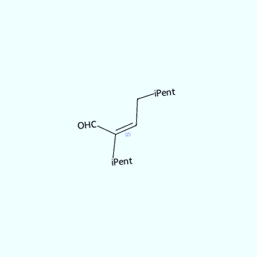 CCCC(C)C/C=C(\C=O)C(C)CCC